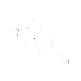 N#CN1CCC2(CCNC2=O)C1